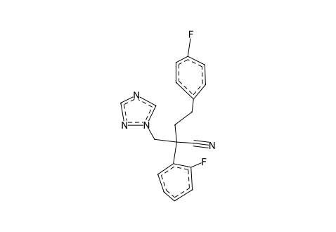 N#CC(CCc1ccc(F)cc1)(Cn1cncn1)c1ccccc1F